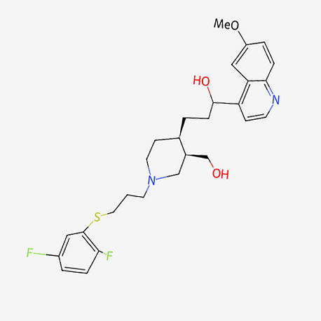 COc1ccc2nccc(C(O)CC[C@@H]3CCN(CCCSc4cc(F)ccc4F)C[C@@H]3CO)c2c1